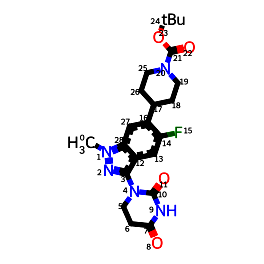 Cn1nc(N2CCC(=O)NC2=O)c2cc(F)c(C3CCN(C(=O)OC(C)(C)C)CC3)cc21